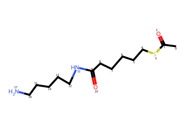 CC(=O)SCCCCCC(=O)NCCCCCN